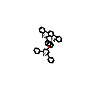 c1ccc(-c2cc(-c3ccc(-n4c5ccccc5c5ccc6c7ccccc7nc(-c7ccccc7)c6c54)cc3)cc(-c3ccccc3)n2)cc1